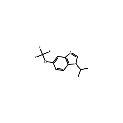 CC(C)n1cnc2cc(OC(F)(F)F)ccc21